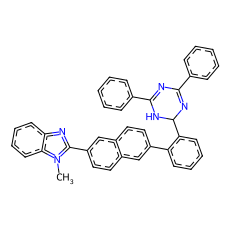 Cn1c(-c2ccc3cc(-c4ccccc4C4N=C(c5ccccc5)N=C(c5ccccc5)N4)ccc3c2)nc2ccccc21